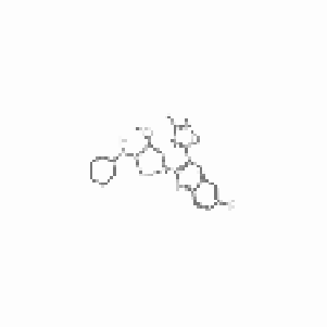 COC1CN(c2nc3ccc(F)cc3cc2-c2nc(C)no2)CCC1NC1CCCCC1